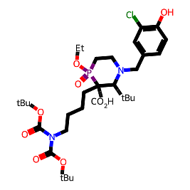 CCOP1(=O)CCN(Cc2ccc(O)c(Cl)c2)C(C(C)(C)C)C1(CCCCN(C(=O)OC(C)(C)C)C(=O)OC(C)(C)C)C(=O)O